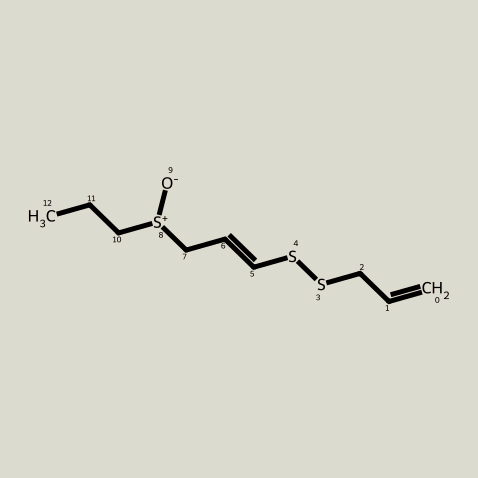 C=CCSSC=CC[S+]([O-])CCC